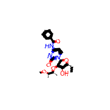 CC[C@H]1O[C@@H](n2ccc(NC(=O)c3ccccc3)nc2=O)C(O[C@H](C)[C@H](C)OC)[C@H]1O